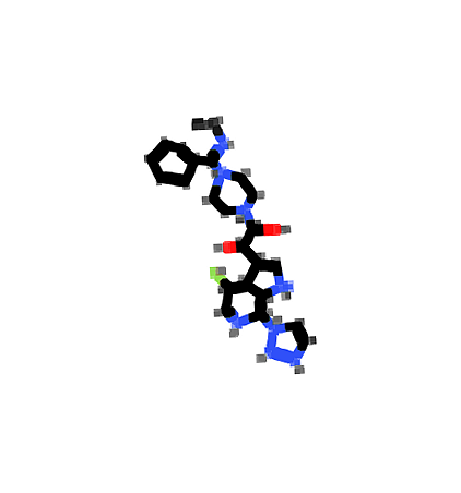 CO/N=C(\c1ccccc1)N1CCN(C(=O)C(=O)c2c[nH]c3c(-n4ccnn4)ncc(F)c23)CC1